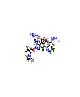 N#Cc1c(N)sc2c(F)cnc(-c3c4c(c5c(N6C7CCC6CNC7)nc(OCC6(CN7CC[C@H]7CF)CC6)nc5c3F)COC4)c12